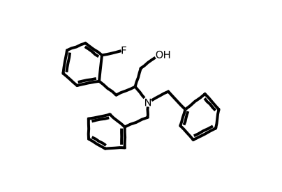 OCC(Cc1ccccc1F)N(Cc1ccccc1)Cc1ccccc1